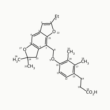 CCc1cc2cc3c(c(COc4ccc(CCC(=O)O)c(C)c4C)c2o1)CC(C)(C)O3